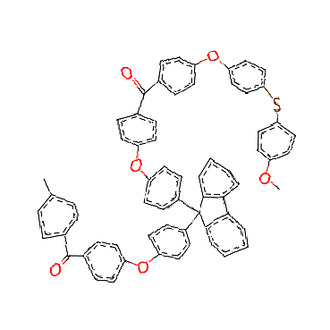 COc1ccc(Sc2ccc(Oc3ccc(C(=O)c4ccc(Oc5ccc(C6(c7ccc(Oc8ccc(C(=O)c9ccc(C)cc9)cc8)cc7)c7ccccc7-c7ccccc76)cc5)cc4)cc3)cc2)cc1